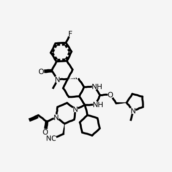 C=CC(=O)N1CCN(C2(C3CCCCC3)NC(OC[C@H]3CCCN3C)NC3C[C@@]4(CCC32)Cc2cc(F)ccc2C(=O)N4C)C[C@H]1CC#N